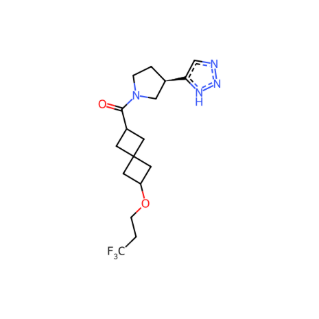 O=C(C1CC2(CC(OCCC(F)(F)F)C2)C1)N1CC[C@@H](c2cnn[nH]2)C1